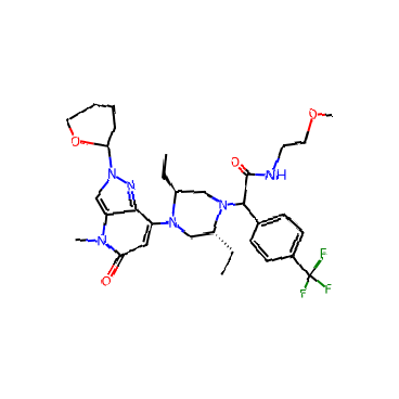 CC[C@H]1CN(C(C(=O)NCCOC)c2ccc(C(F)(F)F)cc2)[C@H](CC)CN1c1cc(=O)n(C)c2cn(C3CCCCO3)nc12